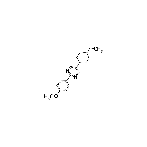 CCC1CCC(c2cnc(-c3ccc(OC)cc3)nc2)CC1